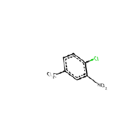 O=[N+]([O-])c1cc(C(Cl)(Cl)Cl)ccc1Cl